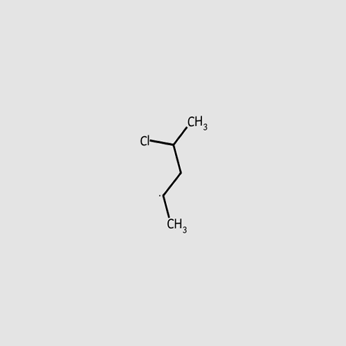 C[CH]CC(C)Cl